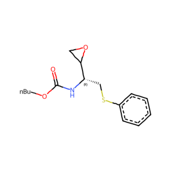 CCCCOC(=O)N[C@@H](CSc1ccccc1)C1CO1